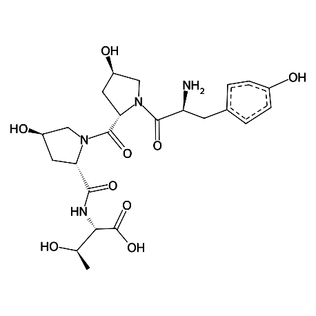 C[C@@H](O)[C@H](NC(=O)[C@@H]1C[C@@H](O)CN1C(=O)[C@@H]1C[C@@H](O)CN1C(=O)[C@@H](N)Cc1ccc(O)cc1)C(=O)O